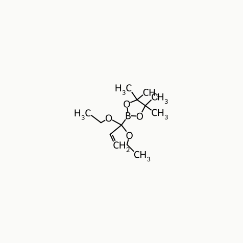 C=CC(OCC)(OCC)B1OC(C)(C)C(C)(C)O1